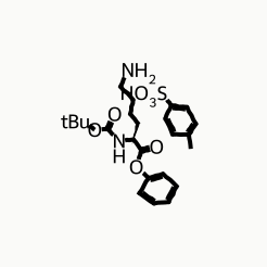 CC(C)(C)OC(=O)N[C@@H](CCCCN)C(=O)Oc1ccccc1.Cc1ccc(S(=O)(=O)O)cc1